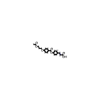 CC(=O)OCCCOc1ccc(C(=O)Oc2ccc(/C=C/C(=O)O)cc2)cc1